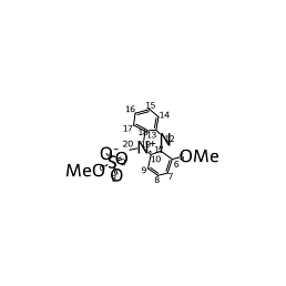 COS(=O)(=O)[O-].COc1cccc2c1nc1ccccc1[n+]2C